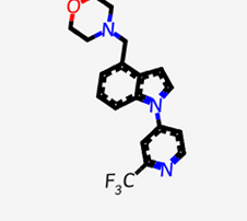 FC(F)(F)c1cc(-n2ccc3c(CN4CCOCC4)cccc32)ccn1